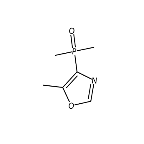 Cc1ocnc1P(C)(C)=O